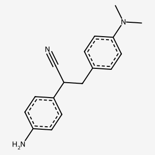 CN(C)c1ccc(CC(C#N)c2ccc(N)cc2)cc1